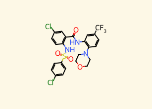 O=C(Nc1cc(C(F)(F)F)ccc1N1CCOCC1)c1cc(Cl)ccc1NS(=O)(=O)c1ccc(Cl)cc1